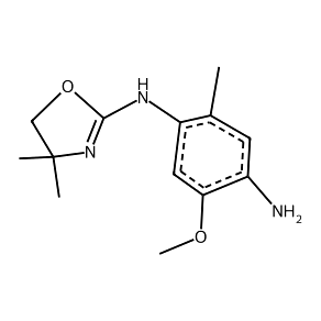 COc1cc(NC2=NC(C)(C)CO2)c(C)cc1N